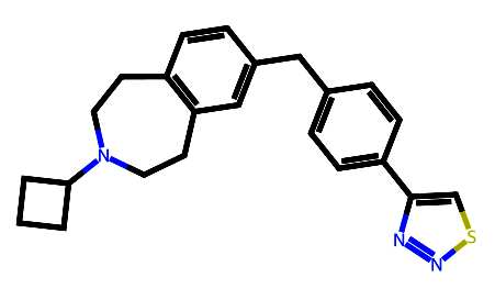 c1cc(-c2csnn2)ccc1Cc1ccc2c(c1)CCN(C1CCC1)CC2